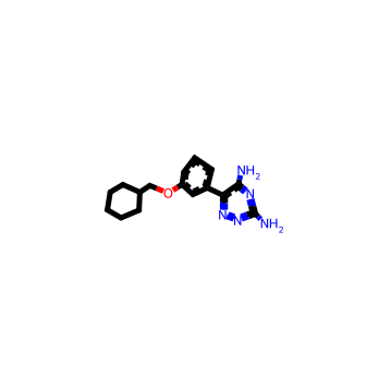 Nc1nnc(-c2cccc(OCC3CCCCC3)c2)c(N)n1